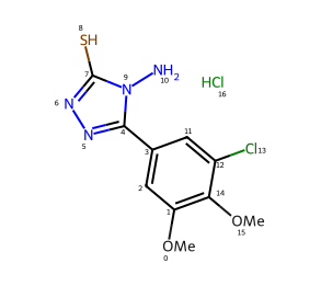 COc1cc(-c2nnc(S)n2N)cc(Cl)c1OC.Cl